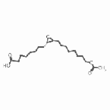 CC(=O)OCCCCCCCCC1O[C@H]1CCCCCCCC(=O)O